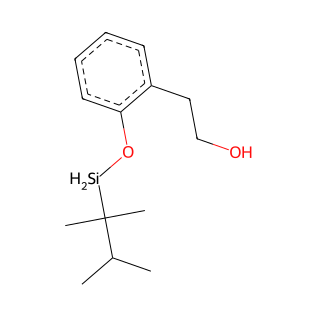 CC(C)C(C)(C)[SiH2]Oc1ccccc1CCO